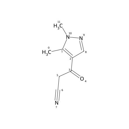 Cc1c(C(=O)CC#N)cnn1C